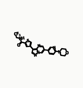 O=C(NCC(F)(F)F)c1cc(-c2cnn3cc(-c4ccc(N5CCOCC5)nc4)cnc23)cs1